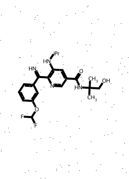 CC(C)Nc1cc(C(=O)NC(C)(C)CO)cnc1C(=N)c1cccc(OC(F)F)c1